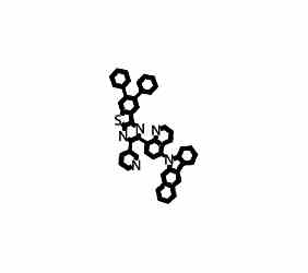 c1ccc(-c2cc3sc4nc(-c5cccnc5)c(-c5ccc(-n6c7ccccc7c7cc8ccccc8cc76)c6cccnc56)nc4c3cc2-c2ccccc2)cc1